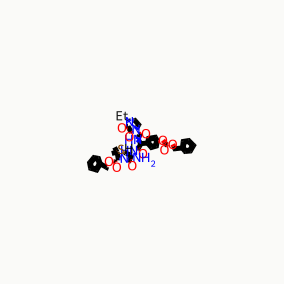 CCN1CCN(C(=O)NC(C(=O)N[C@]2(N)C(=O)N3[C@@H](C(=O)OCc4ccccc4)C(C)(C)S[C@@H]32)c2ccc(OC(=O)OCc3ccccc3)cc2)C(=O)C1=O